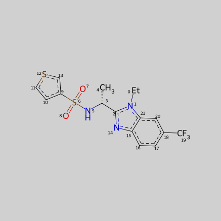 CCn1c([C@@H](C)NS(=O)(=O)c2ccsc2)nc2ccc(C(F)(F)F)cc21